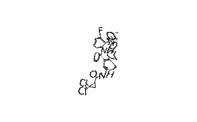 O=C(Nc1cccc(F)c1[N+](=O)[O-])c1cc(NC(=O)C2CC2(Cl)Cl)ccc1Cl